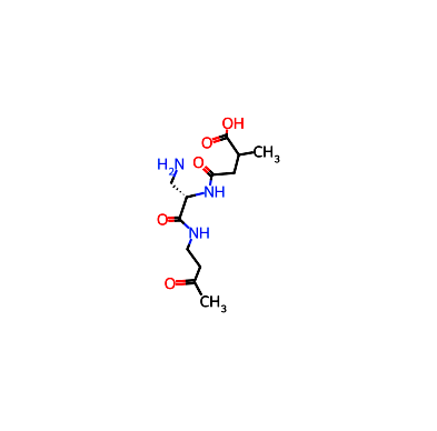 CC(=O)CCNC(=O)[C@H](CN)NC(=O)CC(C)C(=O)O